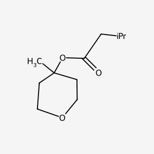 CC(C)CC(=O)OC1(C)CCOCC1